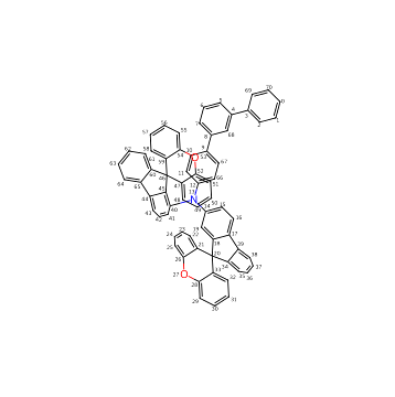 c1ccc(-c2cccc(-c3ccc(N(c4ccc5c(c4)C4(c6ccccc6Oc6ccccc64)c4ccccc4-5)c4cccc5c4C4(c6ccccc6Oc6ccccc64)c4ccccc4-5)cc3)c2)cc1